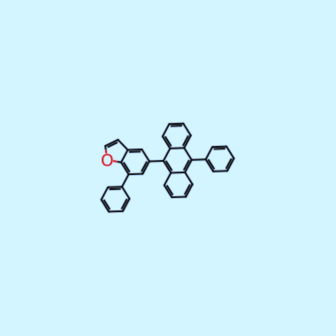 c1ccc(-c2c3ccccc3c(-c3cc(-c4ccccc4)c4occc4c3)c3ccccc23)cc1